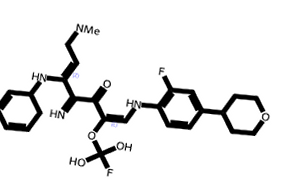 CNC/C=C(\NC1C=CC=CC1)C(=N)C(=O)/C(=C\Nc1ccc(C2CCOCC2)cc1F)OC(O)(O)F